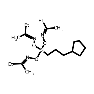 CCC(C)=NO[Si](CCCC1CCCC1)(ON=C(C)CC)ON=C(C)CC